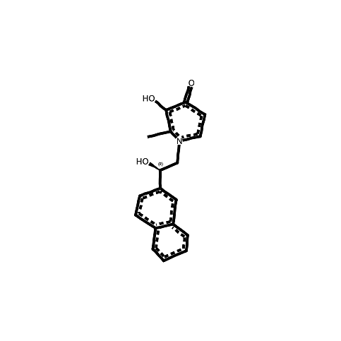 Cc1c(O)c(=O)ccn1C[C@H](O)c1ccc2ccccc2c1